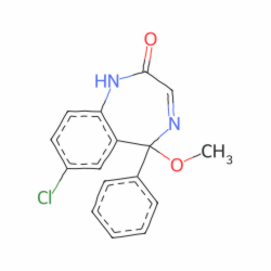 COC1(c2ccccc2)N=CC(=O)Nc2ccc(Cl)cc21